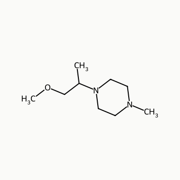 COCC(C)N1CCN(C)CC1